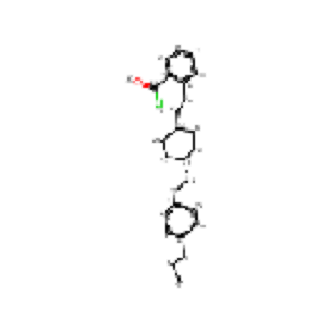 CCCc1ccc(CC[C@H]2CC[C@H](CCc3ccccc3C(=O)Cl)CC2)cc1